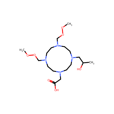 COOCN1CCN(COOC)CCN(CC(C)O)CCN(CC(=O)O)CC1